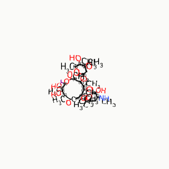 CN[C@H]1C[C@@H](C)O[C@@H](O[C@@H]2[C@@H](C)[C@H](O[C@H]3C[C@@](C)(OC)[C@@H](O)[C@H](C)O3)[C@@H](C)C(=O)O[C@H](I)[C@@](C)(O)[C@H](O)[C@@H](C)C(=O)C[C@@H](C)[C@@]2(C)OC)[C@@H]1O